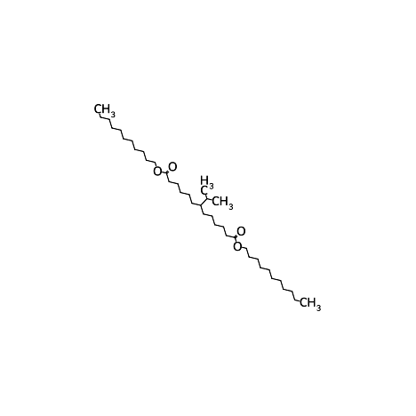 CCCCCCCCCCCOC(=O)CCCCCC(CCCCCC(=O)OCCCCCCCCCCC)C(C)C